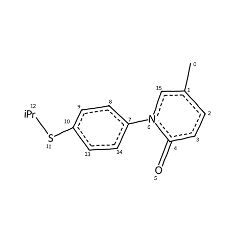 Cc1ccc(=O)n(-c2ccc(SC(C)C)cc2)c1